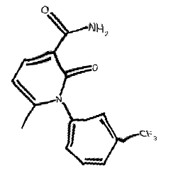 Cc1ccc(C(N)=O)c(=O)n1-c1cccc(C(F)(F)F)c1